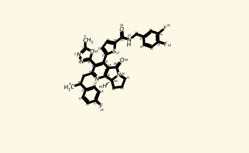 Cc1nnc(-c2c(CC(C)c3ccc(F)cc3)nc3c(c2-c2ccc(C(=O)NCc4ccc(F)c(F)c4)s2)C(=O)N2CCC[C@@H]32)o1